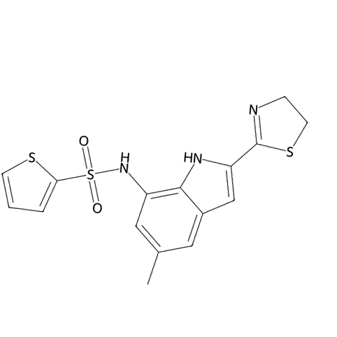 Cc1cc(NS(=O)(=O)c2cccs2)c2[nH]c(C3=NCCS3)cc2c1